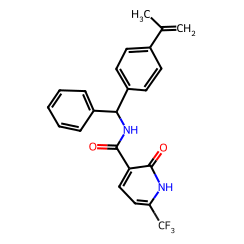 C=C(C)c1ccc(C(NC(=O)c2ccc(C(F)(F)F)[nH]c2=O)c2ccccc2)cc1